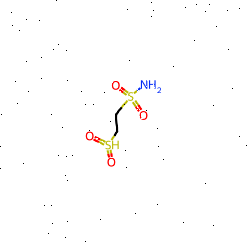 NS(=O)(=O)CC[SH](=O)=O